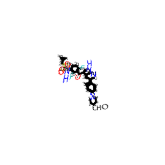 O=CC1CCN(c2ccc(-c3cnc4[nH]cc(C(=O)c5c(F)ccc(NS(=O)(=O)CC6CC6)c5F)c4c3)cc2)CC1